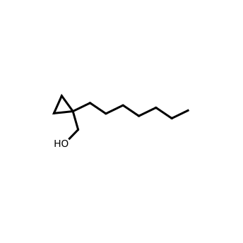 CCCCCCCC1(CO)CC1